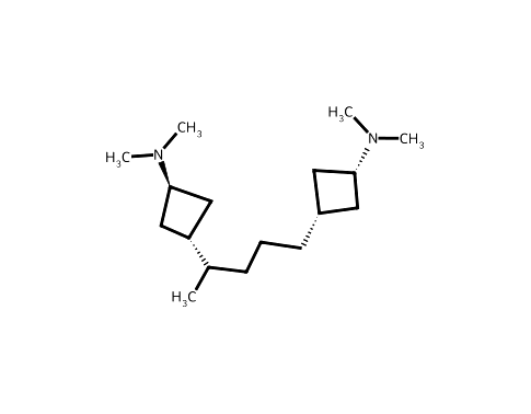 CC(CCC[C@H]1C[C@@H](N(C)C)C1)[C@H]1C[C@H](N(C)C)C1